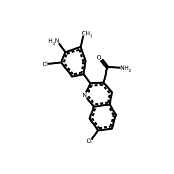 Cc1cc(-c2nc3cc(Cl)ccc3cc2C(N)=O)cc(Cl)c1N